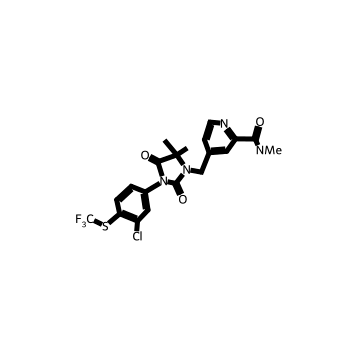 CNC(=O)c1cc(CN2C(=O)N(c3ccc(SC(F)(F)F)c(Cl)c3)C(=O)C2(C)C)ccn1